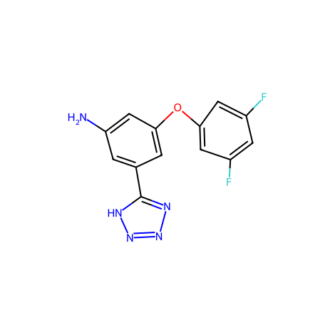 Nc1cc(Oc2cc(F)cc(F)c2)cc(-c2nnn[nH]2)c1